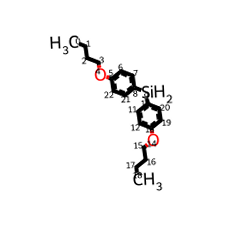 CCCCOc1ccc([SiH2]c2ccc(OCCCC)cc2)cc1